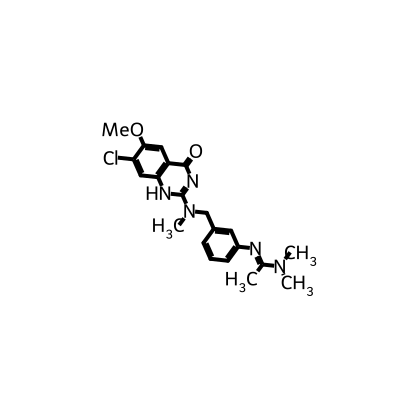 COc1cc2c(=O)nc(N(C)Cc3cccc(/N=C(\C)N(C)C)c3)[nH]c2cc1Cl